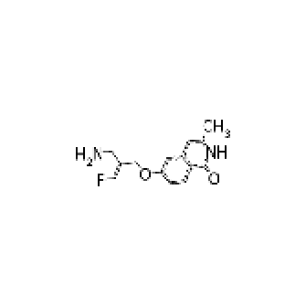 Cc1cc2cc(OCC(=CF)CN)ccc2c(=O)[nH]1